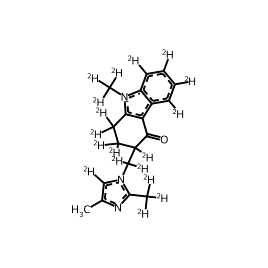 [2H]c1c([2H])c([2H])c2c(c1[2H])c1c(n2C([2H])([2H])[2H])C([2H])([2H])C([2H])([2H])C([2H])(C([2H])([2H])n2c(C([2H])([2H])[2H])nc(C)c2[2H])C1=O